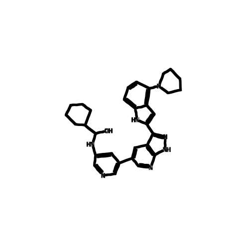 OC(Nc1cncc(-c2cnc3[nH]nc(-c4cc5c(N6CCCCC6)cccc5[nH]4)c3c2)c1)C1CCCCC1